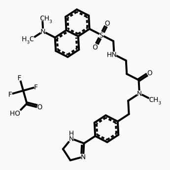 CN(CCc1ccc(C2=NCCN2)cc1)C(=O)CCNCS(=O)(=O)c1cccc2c(N(C)C)cccc12.O=C(O)C(F)(F)F